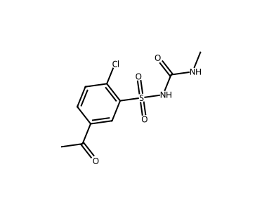 CNC(=O)NS(=O)(=O)c1cc(C(C)=O)ccc1Cl